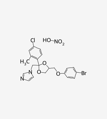 Cc1cc(Cl)ccc1C1(Cn2ccnc2)OCC(COc2ccc(Br)cc2)O1.O=[N+]([O-])O